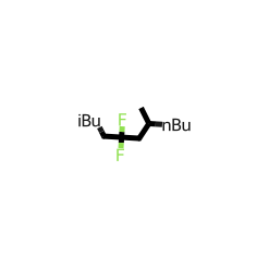 CCCCC(C)CC(F)(F)CC(C)CC